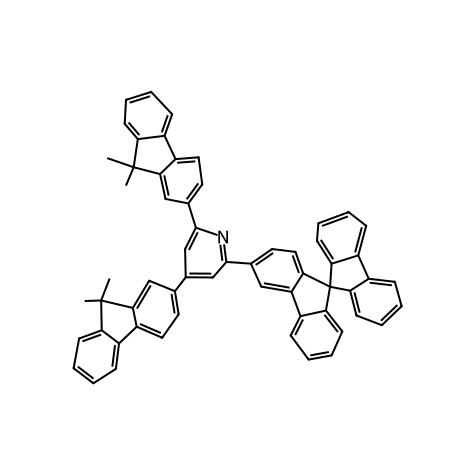 CC1(C)c2ccccc2-c2ccc(-c3cc(-c4ccc5c(c4)-c4ccccc4C54c5ccccc5-c5ccccc54)nc(-c4ccc5c(c4)C(C)(C)c4ccccc4-5)c3)cc21